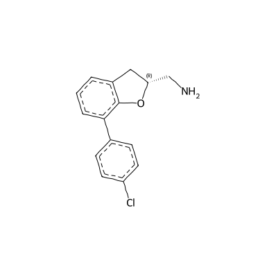 NC[C@H]1Cc2cccc(-c3ccc(Cl)cc3)c2O1